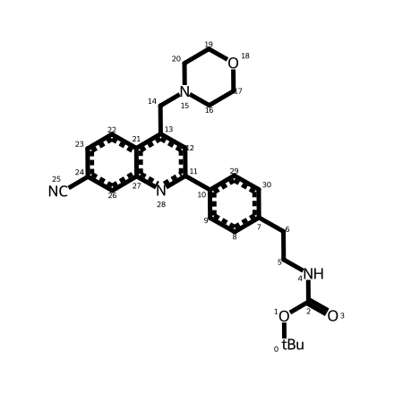 CC(C)(C)OC(=O)NCCc1ccc(-c2cc(CN3CCOCC3)c3ccc(C#N)cc3n2)cc1